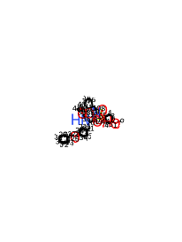 COc1ccc(S(=O)(=O)N(CC2CCCCC2)C[C@@H](O)[C@H](Cc2ccc(OCc3ccccc3)cc2)NC(=O)OC(C)(C)C)cc1